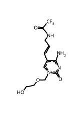 Nc1nc(=O)n(COCCO)cc1/C=C/CNC(=O)C(F)(F)F